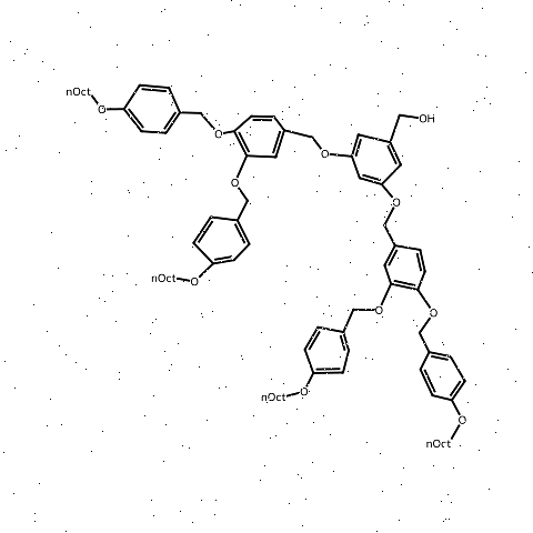 CCCCCCCCOc1ccc(COc2ccc(COc3cc(CO)cc(OCc4ccc(OCc5ccc(OCCCCCCCC)cc5)c(OCc5ccc(OCCCCCCCC)cc5)c4)c3)cc2OCc2ccc(OCCCCCCCC)cc2)cc1